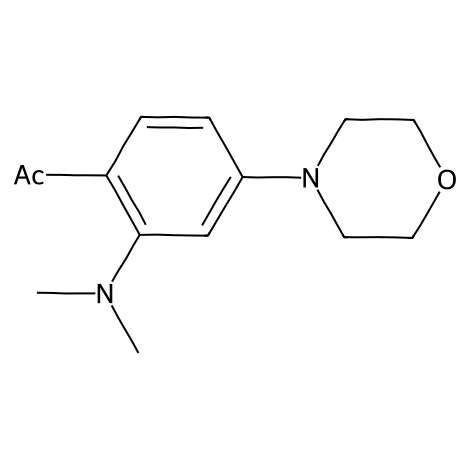 CC(=O)c1ccc(N2CCOCC2)cc1N(C)C